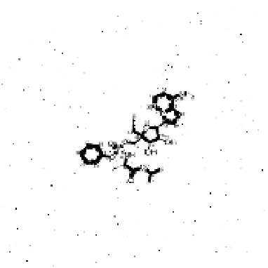 CC(C)OC(=O)[C@H](C)N[P@](=O)(OC[C@@]1(CF)O[C@@H](c2ccc3c(N)ccnn23)[C@H](O)[C@@H]1O)Oc1ccccc1